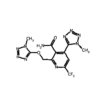 Cn1nnnc1OCc1nc(C(F)(F)F)cc(-c2nnnn2C)c1C(N)=O